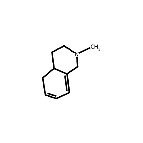 CN1CCC2CC=CC=C2C1